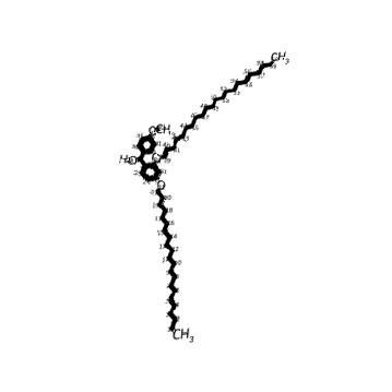 CCCCCCCCCCCCCCCCCCCCCCOc1ccc(C(O)c2ccc(OC)cc2)c(OCCCCCCCCCCCCCCCCCCCCCC)c1